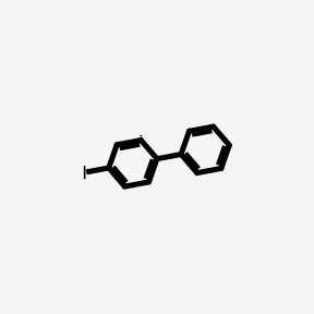 Ic1c[c]c(-c2ccccc2)cc1